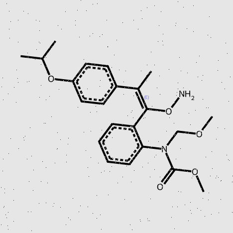 COCN(C(=O)OC)c1ccccc1/C(ON)=C(/C)c1ccc(OC(C)C)cc1